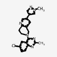 Cc1nc(N2CCc3ncc(-c4cnn(C)c4)cc3C2)c2cc(Cl)ccc2n1